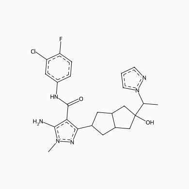 CC(n1cccn1)C1(O)CC2CC(c3nn(C)c(N)c3C(=O)Nc3ccc(F)c(Cl)c3)CC2C1